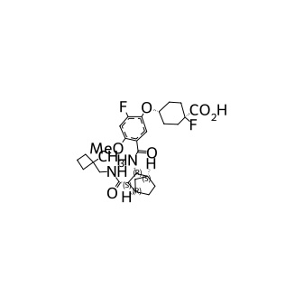 COc1cc(F)c(O[C@H]2CC[C@@](F)(C(=O)O)CC2)cc1C(=O)N[C@@H]1[C@H]2CC[C@H](C2)[C@@H]1C(=O)NCC1(C)CCC1